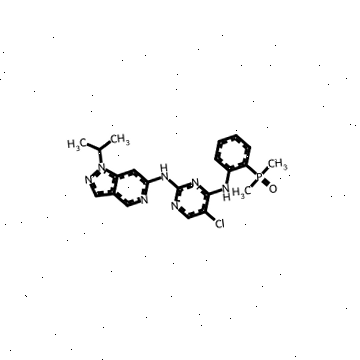 CC(C)n1ncc2cnc(Nc3ncc(Cl)c(Nc4ccccc4P(C)(C)=O)n3)cc21